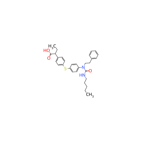 CCCCCNC(=O)N(CCc1ccccc1)c1ccc(Sc2ccc(C(CC)C(=O)O)cc2)cc1